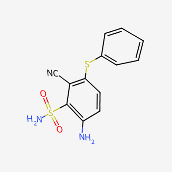 N#Cc1c(Sc2ccccc2)ccc(N)c1S(N)(=O)=O